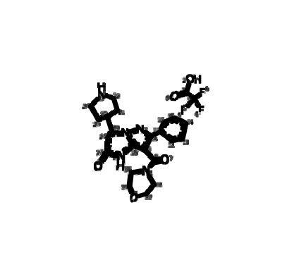 O=C(O)C(F)(F)F.O=C(c1c(-c2ccccc2)nn2c(C3CCNCC3)cc(=O)[nH]c12)N1CCOCC1